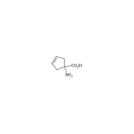 CCOC(=O)C1([N+](=O)[O-])CC=CC1